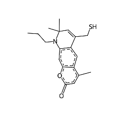 CCCN1c2cc3oc(=O)cc(C)c3cc2C(CS)=CC1(C)C